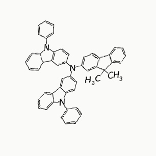 CC1(C)c2ccccc2-c2ccc(N(c3ccc4c(c3)C3C=CC=CC3N4c3ccccc3)c3ccc4c(c3)c3ccccc3n4-c3ccccc3)cc21